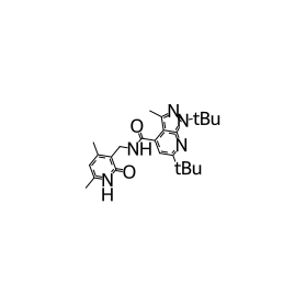 Cc1cc(C)c(CNC(=O)c2cc(C(C)(C)C)nc3c2c(C)nn3C(C)(C)C)c(=O)[nH]1